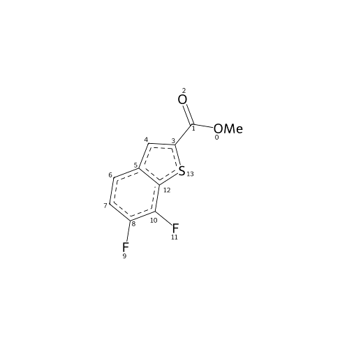 COC(=O)c1cc2ccc(F)c(F)c2s1